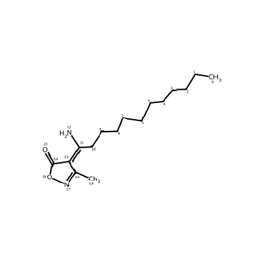 CCCCCCCCCCCC(N)=C1C(=O)ON=C1C